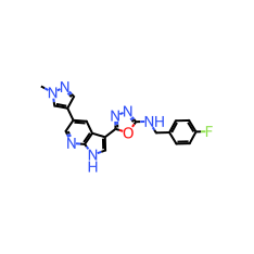 Cn1cc(-c2cnc3[nH]cc(-c4nnc(NCc5ccc(F)cc5)o4)c3c2)cn1